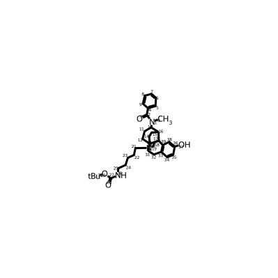 CN(C(=O)c1ccccc1)C1CCC23CCC1C21CCN(CCCCCNC(=O)OC(C)(C)C)C3Cc2ccc(O)cc21